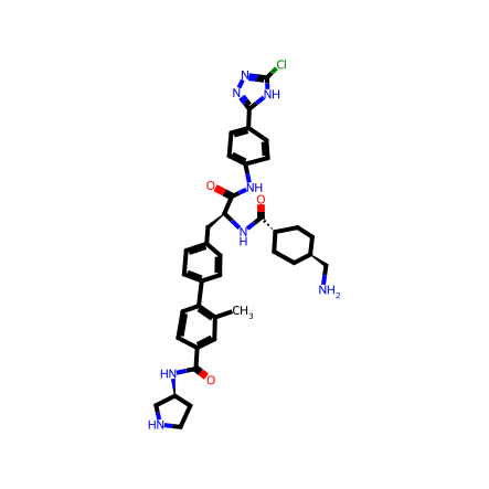 Cc1cc(C(=O)N[C@H]2CCNC2)ccc1-c1ccc(C[C@H](NC(=O)[C@H]2CC[C@H](CN)CC2)C(=O)Nc2ccc(-c3nnc(Cl)[nH]3)cc2)cc1